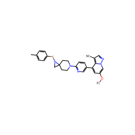 CCOc1cc(-c2ccc(N3CCC4(CC3)CN4Sc3ccc(C)cc3)nc2)c2c(C#N)cnn2c1